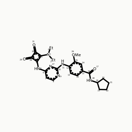 CCN(CC)c1c(Nc2ccnc(Nc3ccc(C(=O)NC4CCCC4)cc3OC)n2)c(=O)c1=O